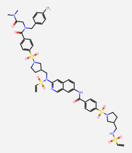 C=CS(=O)(=O)NCC1CCN(S(=O)(=O)c2ccc(C(=O)Nc3ccc4cc(N(CC5CCN(S(=O)(=O)c6ccc(C(=O)N(CC(=O)N(C)C)Cc7ccc(C(F)(F)F)cc7)cc6)C5)S(=O)(=O)C=C)ncc4c3)cc2)C1